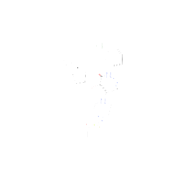 CCCCC1(C)CCC(Oc2c(N3CCN(S(=O)(=O)C(C)C)CC3)cnn(-c3cccc(Cl)c3)c2=O)C1